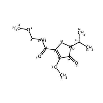 COCNC(=O)C1=C(OC)C(=O)N(C(C)C)C1